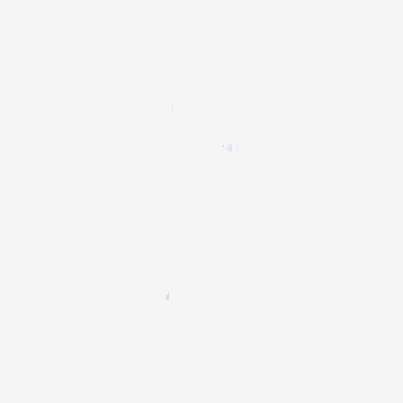 CCOC(=O)NC1C(C)=Cc2ccc(CC(C)C)cc21